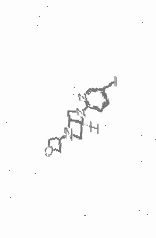 Ic1ccc(N2CC3[C@@H]2CN3C2COC2)nc1